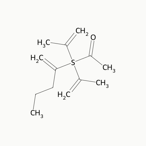 C=C(C)S(C(=C)C)(C(=C)CCC)C(C)=O